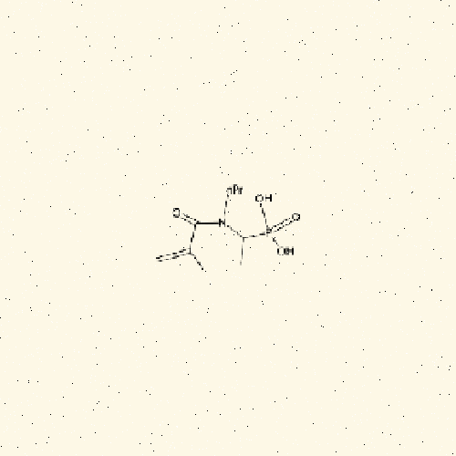 [CH2]CCN(C(=O)C(=C)C)C(C)P(=O)(O)O